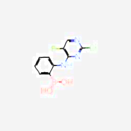 OB(O)c1ccccc1Nc1nc(Cl)ncc1F